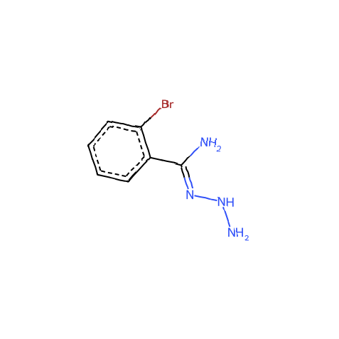 NN/N=C(\N)c1ccccc1Br